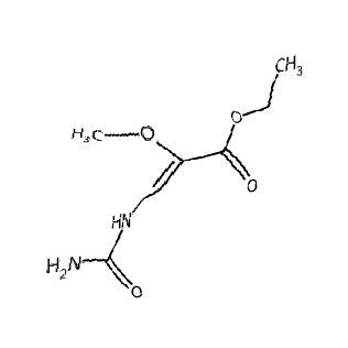 CCOC(=O)C(=CNC(N)=O)OC